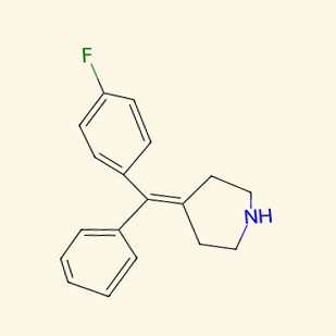 Fc1ccc(C(=C2CCNCC2)c2ccccc2)cc1